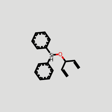 C=CC(C=C)O[SiH](c1ccccc1)c1ccccc1